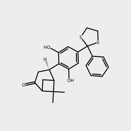 CC1(C)C2CC1[C@H](c1c(O)cc(C3(c4ccccc4)SCCS3)cc1O)CC2=O